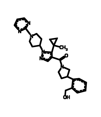 CC1(c2c(C(=O)N3CCC(c4ccccc4CO)C3)cnn2C2CCN(c3ncccn3)CC2)CC1